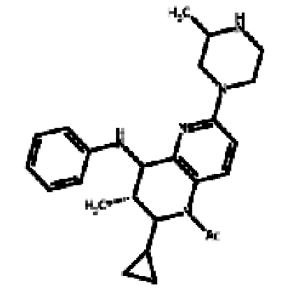 CC(=O)N1c2ccc(N3CCNC(C)C3)nc2C(Nc2ccccc2)[C@@H](C)C1C1CC1